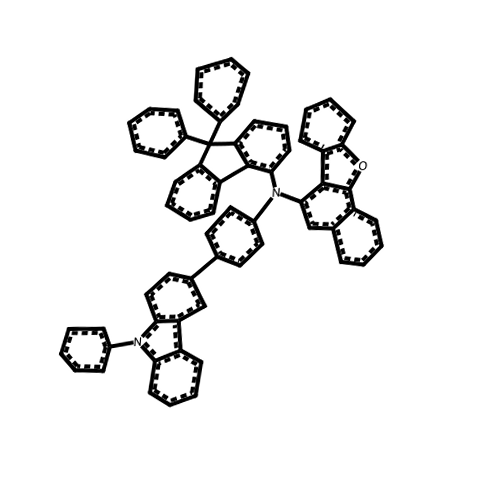 c1ccc(-n2c3ccccc3c3cc(-c4ccc(N(c5cccc6c5-c5ccccc5C6(c5ccccc5)c5ccccc5)c5cc6ccccc6c6oc7ccccc7c56)cc4)ccc32)cc1